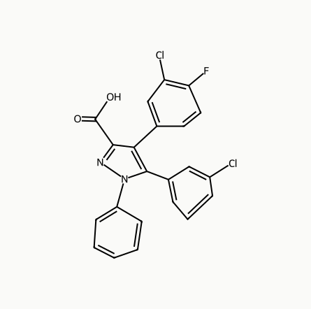 O=C(O)c1nn(-c2ccccc2)c(-c2cccc(Cl)c2)c1-c1ccc(F)c(Cl)c1